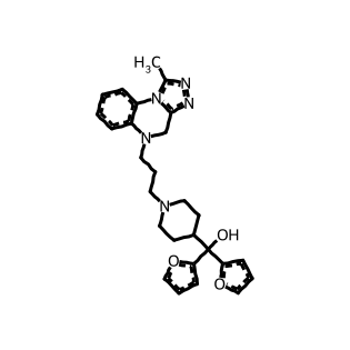 Cc1nnc2n1-c1ccccc1N(CCCN1CCC(C(O)(c3ccco3)c3ccco3)CC1)C2